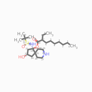 CCCCCCCC(CC)C(=O)O[C@]1(N[S+]([O-])C(C)(C)C)C[C@H](O)CC12CCNCC2